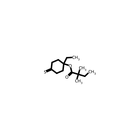 CCC1(OC(=O)C(C)(C)CC)CCC(=S)CC1